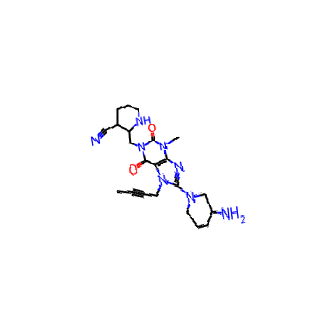 CC#CCn1c(N2CCCC(N)C2)nc2c1c(=O)n(CC1NCCCC1C#N)c(=O)n2C